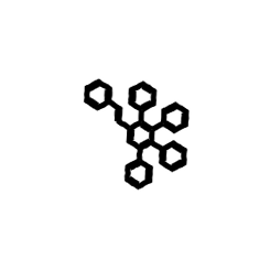 C(=Cc1cc(-c2ccccc2)c(-c2ccccc2)c(-c2ccccc2)c1-c1ccccc1)c1ccccc1